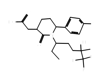 CCC(CCC(C)(O)C(F)(F)F)N1C(=O)C(CC(=O)O)CCC1c1ccc(Cl)cc1